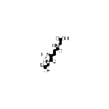 NC(CCC(=O)NCC(=O)O)C(=O)NCC(=O)O